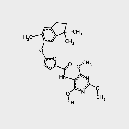 COc1nc(OC)c(NC(=O)c2ccc(Oc3cc4c(cc3C)CCC4(C)C)o2)c(OC)n1